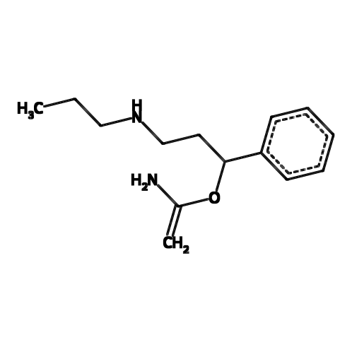 C=C(N)OC(CCNCCC)c1ccccc1